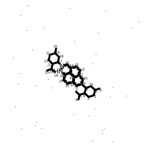 CC1CCC(C(C)C)C(c2cc3ccc4cn(C5CC(C)CCC5C(C)C)[nH]c5ccc(c2)c3c45)C1